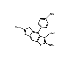 CNC1=[C]c2cc3sc(NC)c(NC)c3c(-c3ccc(C(C)(C)C)cc3)c2C1